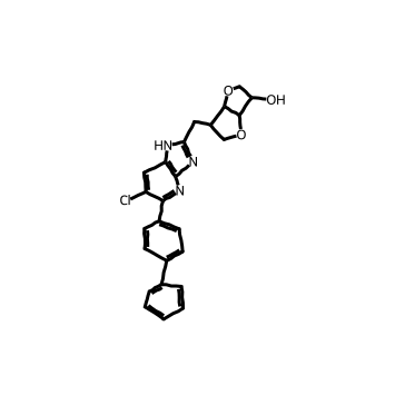 OC1COC2C(Cc3nc4nc(-c5ccc(-c6ccccc6)cc5)c(Cl)cc4[nH]3)COC12